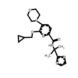 CC(C)(NC(=O)c1ccc(N2CCOCC2)c(OCC2CC2)n1)c1nccs1